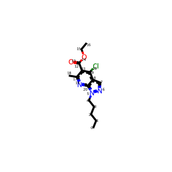 CCCCCn1ncc2c(Cl)c(C(=O)OCC)c(C)nc21